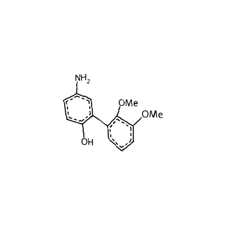 COc1cccc(-c2cc(N)ccc2O)c1OC